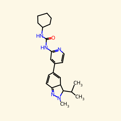 CC(C)C1C2C=C(c3ccnc(NC(=O)NC4CCCCC4)c3)C=CC2=NN1C